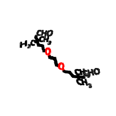 CC(C)(CC=O)CCCOCCCOCCCC(C)(C)CC=O